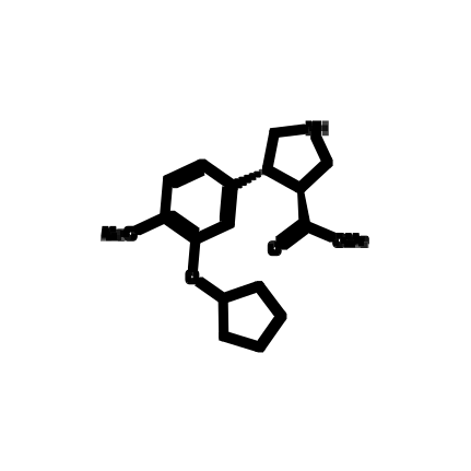 COC(=O)[C@@H]1CNC[C@H]1c1ccc(OC)c(OC2CCCC2)c1